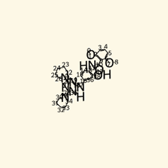 COc1cccc(OC)c1C(=O)Nc1ccc(Nc2nc(N3CCCCC3)nc(N3CCCCC3)n2)cc1O